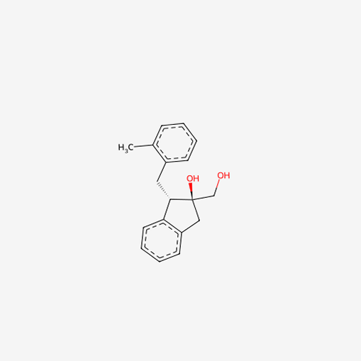 Cc1ccccc1C[C@H]1c2ccccc2C[C@@]1(O)CO